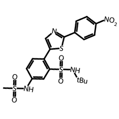 CC(C)(C)NS(=O)(=O)c1cc(NS(C)(=O)=O)ccc1-c1cnc(-c2ccc([N+](=O)[O-])cc2)s1